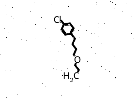 [CH2]CCOCCCCc1ccc(Cl)cc1